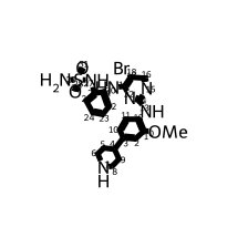 COc1cc(C2CCNCC2)ccc1Nc1ncc(Br)c(Nc2ccccc2NS(N)(=O)=O)n1